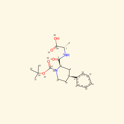 C[C@H](NC(=O)[C@H]1C[C@@H](c2ccccc2)CCN1C(=O)OC(C)(C)C)C(=O)O